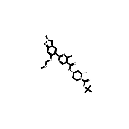 COCOc1cc2nn(C)cc2cc1-c1ncc(C(=O)N[C@H]2CCN(C(=O)OC(C)(C)C)[C@@H](C)C2)c(C)n1